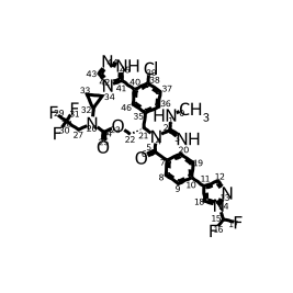 CNC(=N)N(C(=O)c1ccc(-c2cnn(C(F)F)c2)cc1)[C@H](COC(=O)N(CC(F)(F)F)C1CC1)c1ccc(Cl)c(-c2ncn[nH]2)c1